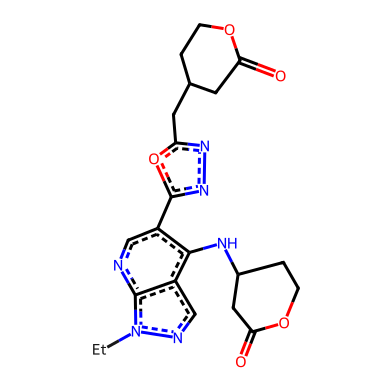 CCn1ncc2c(NC3CCOC(=O)C3)c(-c3nnc(CC4CCOC(=O)C4)o3)cnc21